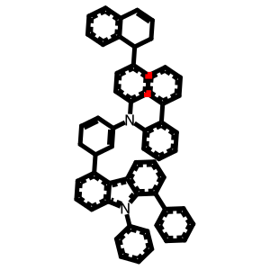 C1=CC(N(c2ccc(C3CC=Cc4ccccc43)cc2)c2ccccc2-c2ccccc2)=CC(c2cccc3c2c2cccc(-c4ccccc4)c2n3-c2ccccc2)C1